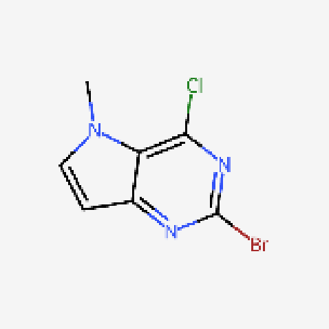 Cn1ccc2nc(Br)nc(Cl)c21